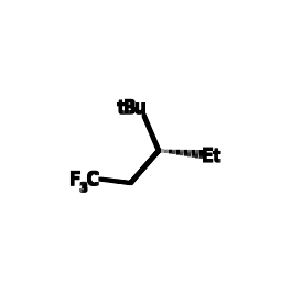 CC[C@H](CC(F)(F)F)C(C)(C)C